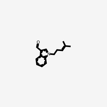 CC(C)=CCCn1cc(C=O)c2ccccc21